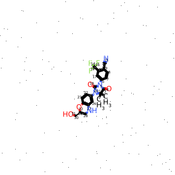 CC1(C)C(=O)N(c2ccc(C#N)c(C(F)(F)F)c2)C(=O)N1c1ccc2c(c1)NC[C@@H](CO)O2